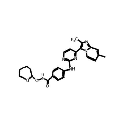 Cc1ccn2c(-c3ccnc(Nc4ccc(C(=O)NOC5CCCCO5)cc4)n3)c(C(F)(F)F)nc2c1